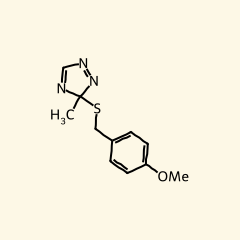 COc1ccc(CSC2(C)N=CN=N2)cc1